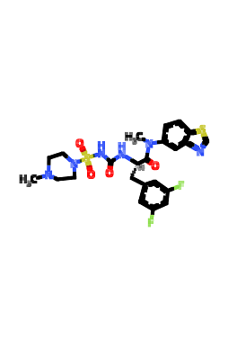 CN1CCN(S(=O)(=O)NC(=O)N[C@@H](Cc2cc(F)cc(F)c2)C(=O)N(C)c2ccc3scnc3c2)CC1